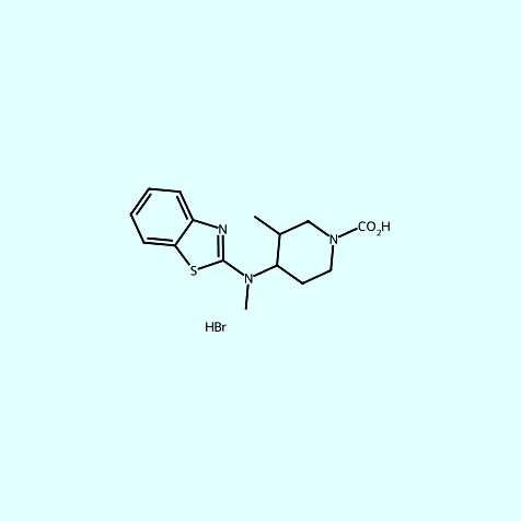 Br.CC1CN(C(=O)O)CCC1N(C)c1nc2ccccc2s1